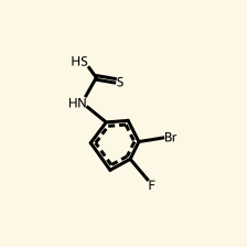 Fc1ccc(NC(=S)S)cc1Br